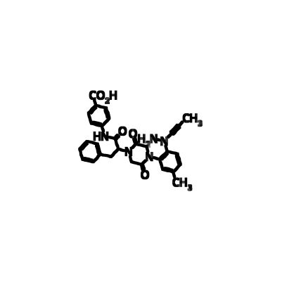 CC#CN(N)c1ccc(C)cc1N1CC(=O)N(C(Cc2ccccc2)C(=O)Nc2ccc(C(=O)O)cc2)CC1=O